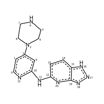 c1cc(N2CCNCC2)cc(Nc2ccc3[nH]nnc3n2)n1